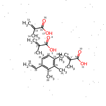 C=C(C)C(=O)O.C=C(C)C(=O)O.C=C(C)C(=O)O.C=Cc1ccc(C)c(C)c1C